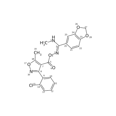 CN/C(=N\OC(=O)c1c(-c2ccccc2Cl)noc1C)c1ccc2c(c1)OCO2